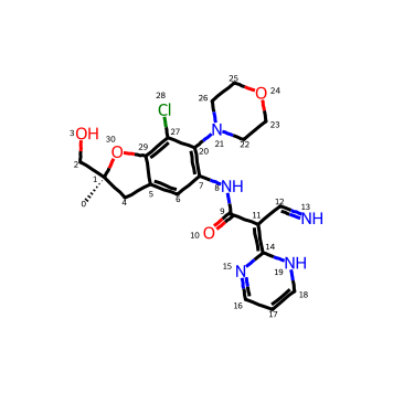 C[C@@]1(CO)Cc2cc(NC(=O)/C(C=N)=C3\N=CC=CN3)c(N3CCOCC3)c(Cl)c2O1